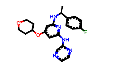 C[C@H](Nc1cc(OC2CCOCC2)cc(Nc2cnccn2)n1)c1ccc(F)cc1